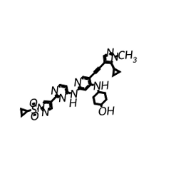 Cn1ncc(C#Cc2cnc(Nc3ccnc(-c4cnn(S(=O)(=O)C5CC5)c4)n3)cc2NC2CCC(O)CC2)c1C1CC1